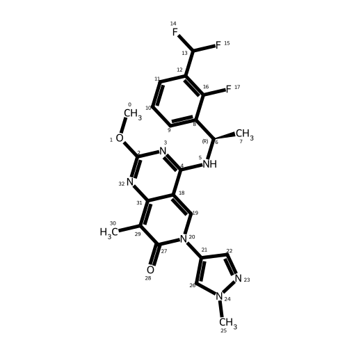 COc1nc(N[C@H](C)c2cccc(C(F)F)c2F)c2cn(-c3cnn(C)c3)c(=O)c(C)c2n1